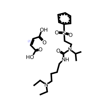 CCN(CC)CCCCNC(=O)N(CCS(=O)(=O)c1ccccc1)C(C)C.O=C(O)/C=C\C(=O)O